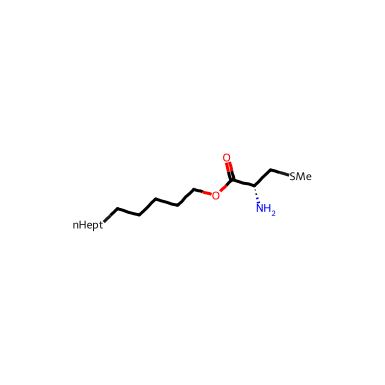 CCCCCCCCCCCCOC(=O)[C@@H](N)CSC